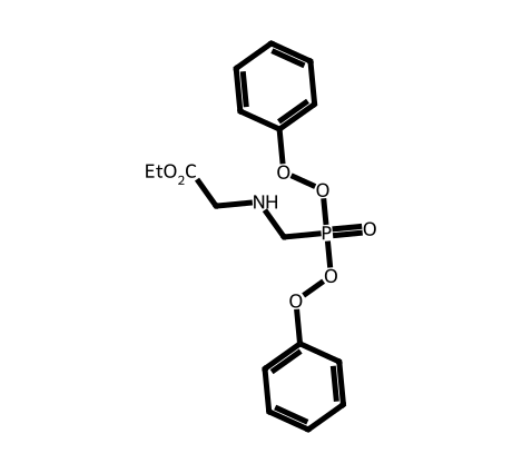 CCOC(=O)CNCP(=O)(OOc1ccccc1)OOc1ccccc1